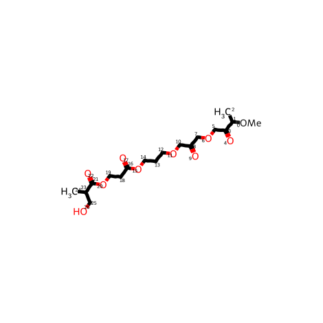 COC(C)C(=O)COCC(=O)COCCCOC(=O)CCOC(=O)C(C)CO